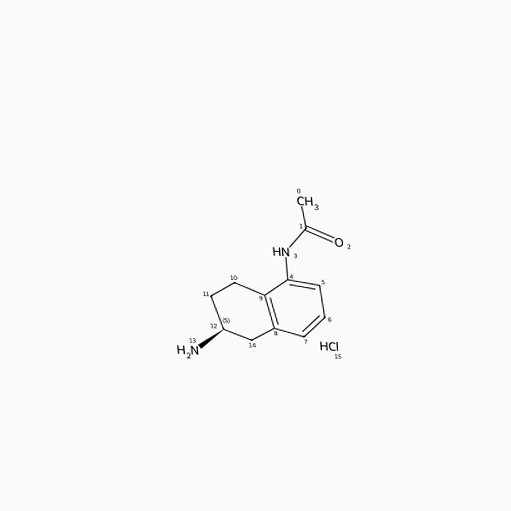 CC(=O)Nc1cccc2c1CC[C@H](N)C2.Cl